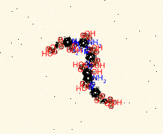 Nc1c(/N=N/c2ccc(S(=O)(=O)CCOS(=O)(=O)O)cc2S(=O)(=O)O)cc(S(=O)(=O)O)c(N)c1/N=N/c1cc(/N=N/c2c(S(=O)(=O)O)cc3cc(S(=O)(=O)O)c(/N=N/c4ccc(S(=O)(=O)CCOS(=O)(=O)O)cc4)c(N)c3c2O)c(S(=O)(=O)O)cc1S(=O)(=O)O